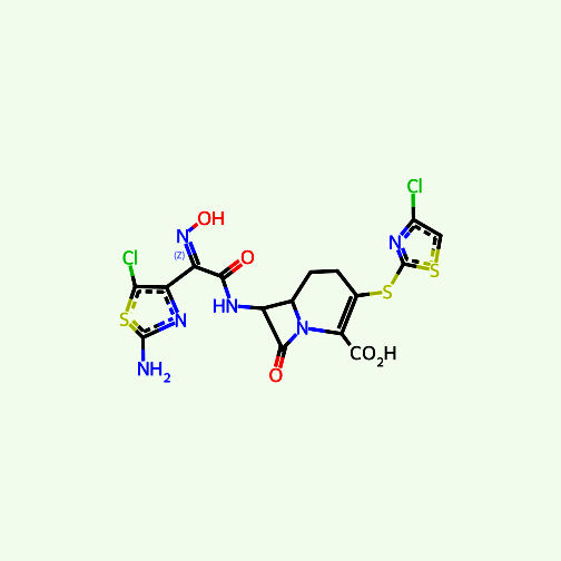 Nc1nc(/C(=N/O)C(=O)NC2C(=O)N3C(C(=O)O)=C(Sc4nc(Cl)cs4)CCC23)c(Cl)s1